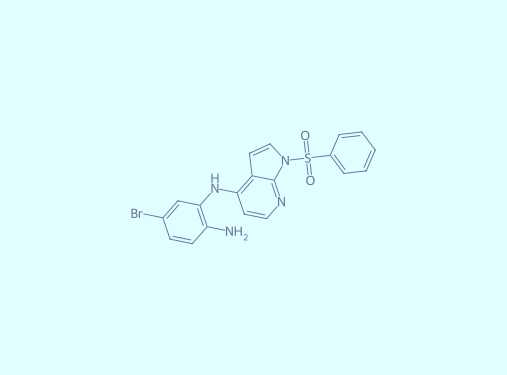 Nc1ccc(Br)cc1Nc1ccnc2c1ccn2S(=O)(=O)c1ccccc1